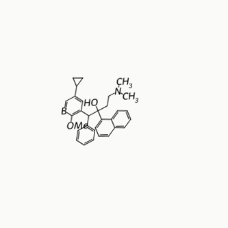 COc1bcc(C2CC2)cc1C(c1ccccc1)C(O)(CCN(C)C)c1cccc2ccccc12